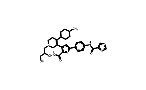 CC1CCC(C2=C(c3cc(-c4ccc(NC(=O)c5cscn5)cc4)sc3C(=O)O)CN(CC(O)CO)CC2)CC1